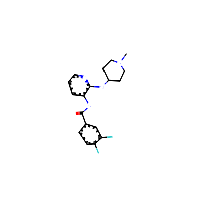 O=CN1CCC(Nc2ncccc2NC(=O)c2ccc(F)c(F)c2)CC1